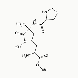 CC(C)(C)OC(=O)C(N)CCC[C@](NC(=O)[C@@H]1CCCN1)(C(=O)O)C(=O)OC(C)(C)C